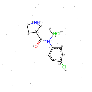 CCN(C(=O)C1CCNC1)c1ccc(Cl)cc1.Cl